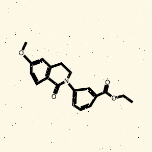 CCOC(=O)c1cccc(N2CCc3cc(OC)ccc3C2=O)c1